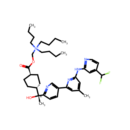 CCCC[N+](CCCC)(CCCC)COC(=O)[C@H]1CC[C@H]([C@@](C)(O)c2ccc(-c3cc(C)cc(Nc4cc(C(F)F)ccn4)n3)cn2)CC1